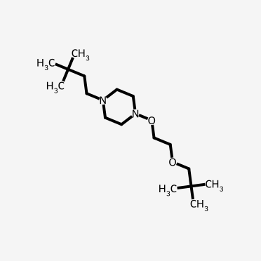 CC(C)(C)CCN1CCN(OCCOCC(C)(C)C)CC1